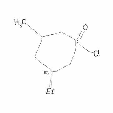 CC[C@@H]1CC(C)CP(=O)(Cl)C1